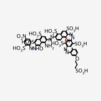 Cc1ccc(OCCCS(=O)(=O)O)cc1/N=N\c1cc(S(=O)(=O)O)c(/N=N\c2c(S(=O)(=O)O)cc3c(S(=O)(=O)O)c(N=Nc4cc(S(=O)(=O)O)c5cc(S(=O)(=O)O)c(/N=N\c6ccc([N+](=O)[O-])cc6S(=O)(=O)O)c(O)c5c4N)ccc3c2O)cc1S(=O)(=O)O